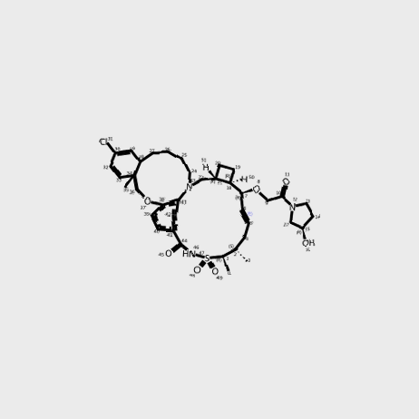 C[C@@H]1[C@@H](C)C/C=C/[C@H](OCC(=O)N2CC[C@@H](O)C2)[C@@H]2CC[C@H]2CN2CCCCC3C=C(Cl)C=CC3(C)COc3ccc(cc32)C(=O)NS1(=O)=O